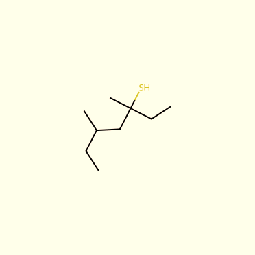 CCC(C)CC(C)(S)CC